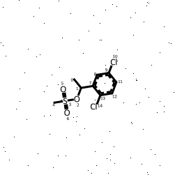 CC(OS(C)(=O)=O)c1cc(Cl)ccc1Cl